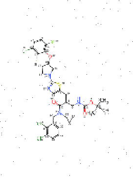 CC(C)(C)OC(=O)NCC(Cc1cnc(N2CCC(Oc3c(F)ccc(Cl)c3F)C2)s1)C(=O)N(Cc1cccc(Cl)c1Cl)C1CC1